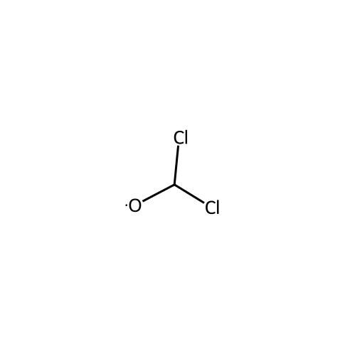 [O]C(Cl)Cl